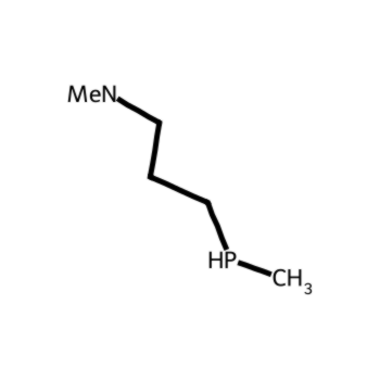 CNCCCPC